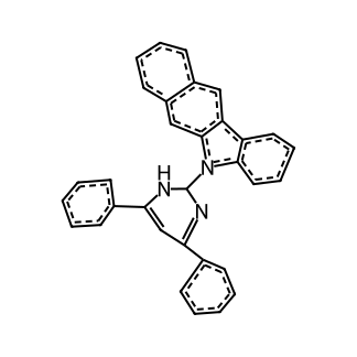 C1=C(c2ccccc2)NC(n2c3ccccc3c3cc4ccccc4cc32)N=C1c1ccccc1